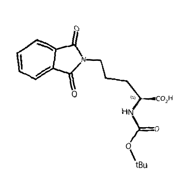 CC(C)(C)OC(=O)N[C@@H](CCCN1C(=O)c2ccccc2C1=O)C(=O)O